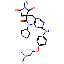 CN(C)CCOc1ccc(Nc2ncc3c(n2)N(C2CCCC2)C(=O)C2(CC(=O)N(C)C2=O)C3)cc1